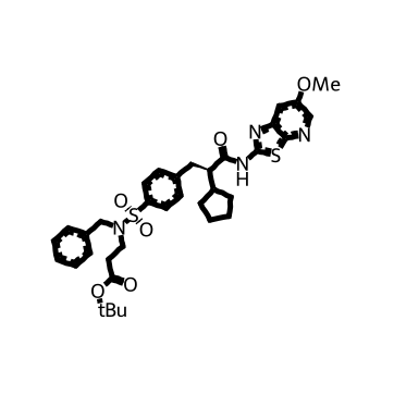 COc1cnc2sc(NC(=O)[C@H](Cc3ccc(S(=O)(=O)N(CCC(=O)OC(C)(C)C)Cc4ccccc4)cc3)C3CCCC3)nc2c1